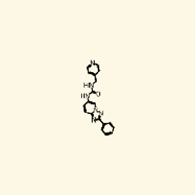 O=C(NCc1ccncc1)Nc1ccc2nc(-c3ccccc3)nn2c1